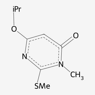 CSc1nc(OC(C)C)cc(=O)n1C